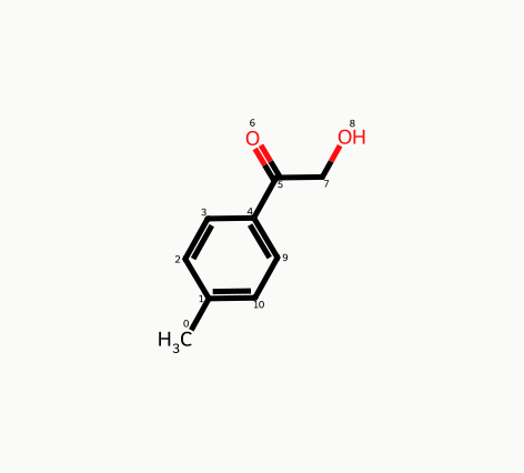 Cc1ccc(C(=O)CO)cc1